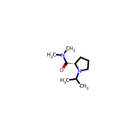 CC(C)N1CCC[C@H]1C(=O)N(C)C